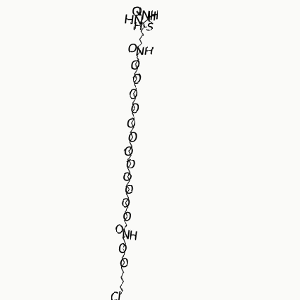 O=C(CCCC[C@@H]1SC[C@@H]2NC(=O)N[C@@H]21)NCCOCCOCCOCCOCCOCCOCCOCCOCCOCCOCCOCCOCCC(=O)NCCOCCOCCCCCCCl